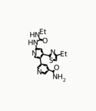 CCNC(=O)Nc1cc(-c2nc(CC)cs2)c(-c2cncc(C(N)=O)c2)cn1